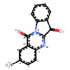 O=C1c2ccccc2-n2c1nc1ccc([N+](=O)[O-])cc1c2=O